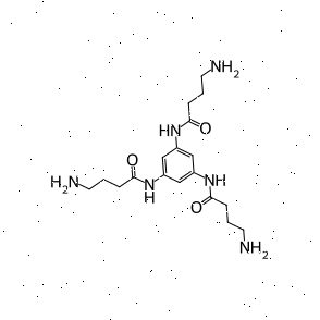 NCCCC(=O)Nc1cc(NC(=O)CCCN)cc(NC(=O)CCCN)c1